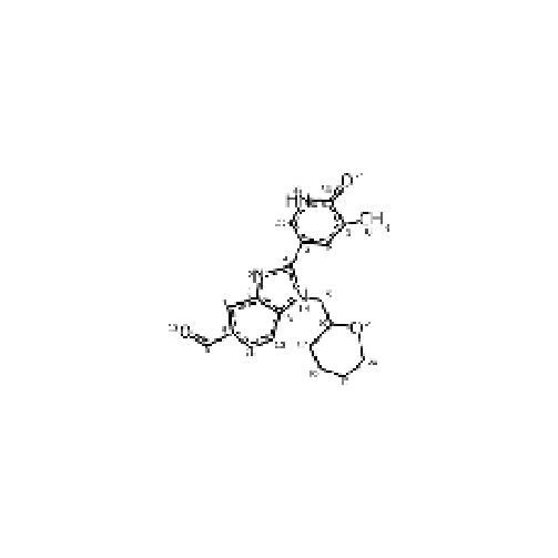 Cc1cc(-c2nc3cc(C=O)ccc3n2CC2CCCCO2)c[nH]c1=O